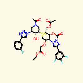 CCOC(=O)CO[C@H]1C[SH]([C@@H]2CN(C(C)=O)C[C@H](n3cc(-c4cccc(F)c4)nn3)[C@H]2O)[C@H](COC(C)=O)[C@H](OC(C)=O)[C@H]1n1cc(-c2cc(F)c(F)c(F)c2)nn1